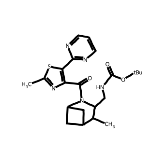 Cc1nc(C(=O)N2C3CC(C3)C(C)C2CNC(=O)OC(C)(C)C)c(-c2ncccn2)s1